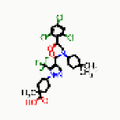 CC1(C)CCC(N(CC(=O)c2c(Cl)cc(Cl)cc2Cl)C(=O)c2cnn(C3CCC(C)(C(=O)O)CC3)c2C(F)(F)F)CC1